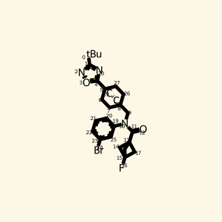 CC(C)(C)c1noc(C23CCC(CN(C(=O)C45CC(F)(C4)C5)c4cccc(Br)c4)(CC2)CC3)n1